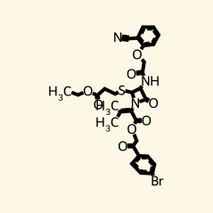 CCOC(=O)CCSC1C(NC(=O)COc2ccccc2C#N)C(=O)N1C(C(=O)OCC(=O)c1ccc(Br)cc1)=C(C)C